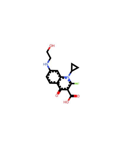 O=C(O)c1c(F)n(C2CC2)c2cc(NCCO)ccc2c1=O